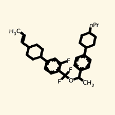 C/C=C/C1CCC(c2ccc(C(F)(F)OC(C)c3ccc(C4CCC(CCC)CC4)cc3)c(F)c2)CC1